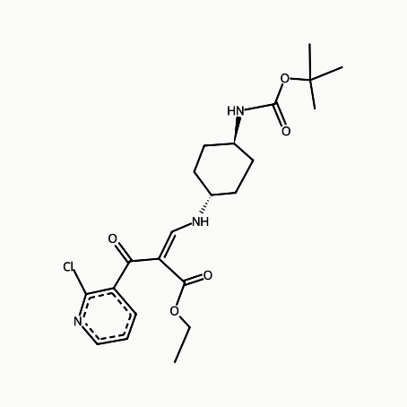 CCOC(=O)C(=CN[C@H]1CC[C@H](NC(=O)OC(C)(C)C)CC1)C(=O)c1cccnc1Cl